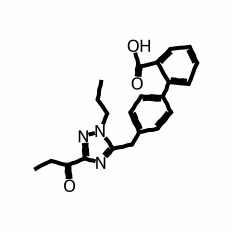 CCCn1nc(C(=O)CC)nc1Cc1ccc(-c2ccccc2C(=O)O)cc1